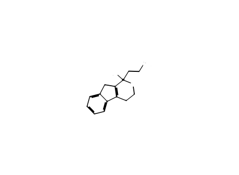 CC1(CCN)SCCC2=C1Cc1ccccc12